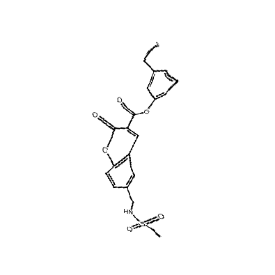 CS(=O)(=O)NCc1ccc2oc(=O)c(C(=O)Oc3cccc(CI)c3)cc2c1